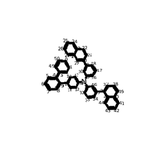 c1ccc(-c2ccccc2-c2ccc(N(c3cccc(-c4ccc5ccccc5c4)c3)c3cccc(-c4cccc5ccccc45)c3)cc2)cc1